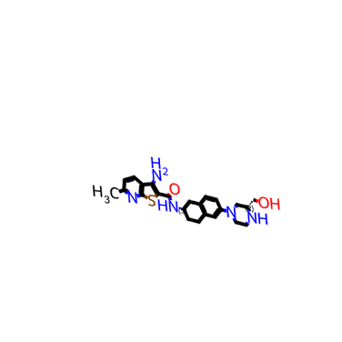 Cc1ccc2c(N)c(C(=O)N[C@H]3CCc4cc(N5CCN[C@@H](CO)C5)ccc4C3)sc2n1